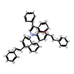 C(=C(c1ccccc1)c1ccccc1)N(c1ccc(/C=C/c2ccccc2)cc1)c1ccc(/C=C/c2ccccc2)c2ccccc12